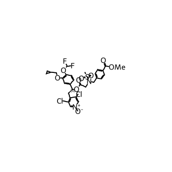 COC(=O)c1ccc(CN(CC(=O)O[C@@H](Cc2c(Cl)c[n+]([O-])cc2Cl)c2ccc(OC(F)F)c(OCC3CC3)c2)S(C)(=O)=O)cc1